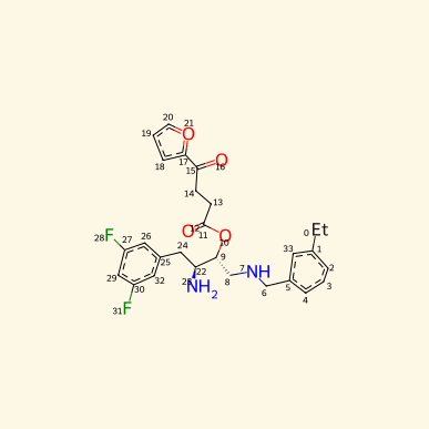 CCc1cccc(CNC[C@@H](OC(=O)CCC(=O)c2ccco2)[C@@H](N)Cc2cc(F)cc(F)c2)c1